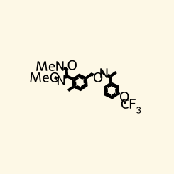 CNC(=O)C(=NOC)c1cc(CON=C(C)c2cccc(OC(F)(F)F)c2)ccc1C